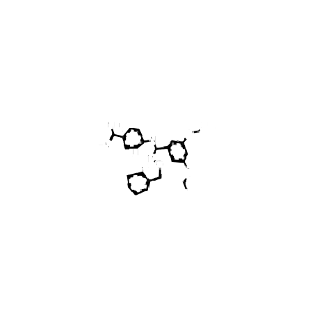 CCOc1cc(OCC)cc(C(Nc2ccc(C(=N)N)cc2)P(=O)(O)OCc2ccccc2)c1